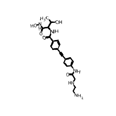 CC(O)C(NC(=O)c1ccc(C#Cc2ccc(NC(=O)CNCCN)cc2)cc1)C(=O)NO